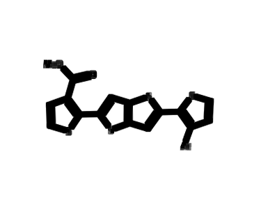 COC(=O)c1ccsc1-c1cc2sc(-c3sccc3C(C)=O)cc2s1